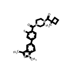 Cc1nn(C)c2ccc(-c3ccc(C(=O)N4CCN(C(=O)C5(N)CCC5)CC4)c(F)c3)cc12